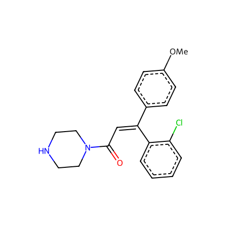 COc1ccc(C(=CC(=O)N2CCNCC2)c2ccccc2Cl)cc1